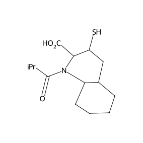 CC(C)C(=O)N1C2CCCCC2CC(S)C1C(=O)O